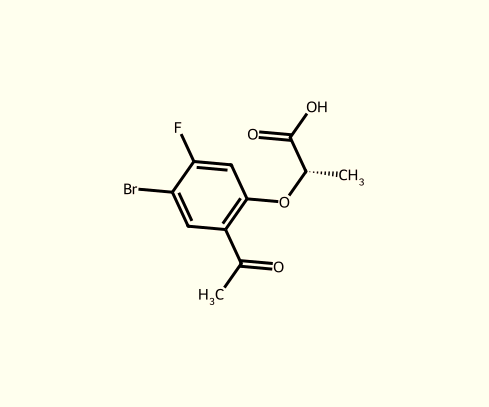 CC(=O)c1cc(Br)c(F)cc1O[C@@H](C)C(=O)O